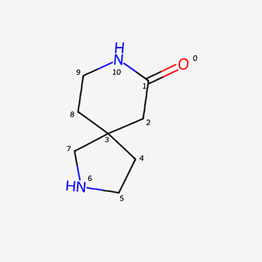 O=C1CC2(CCNC2)CCN1